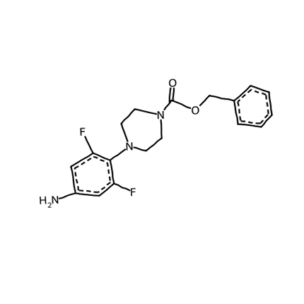 Nc1cc(F)c(N2CCN(C(=O)OCc3ccccc3)CC2)c(F)c1